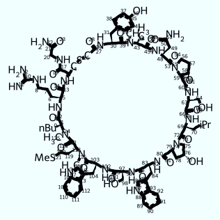 CCCC[C@H]1C(=O)N[C@@H](CCCNC(=N)N)C(=O)NC(C(=O)NCC(N)=O)CSCC(=O)N[C@@H](Cc2ccc(O)cc2)C(=O)N(C)[C@@H](C)C(=O)N[C@@H](CC(N)=O)C(=O)N2CCC[C@H]2C(=O)N[C@@H](CO)C(=O)N[C@@H](CC(C)C)C(=O)N2C[C@H](O)CC2C(=O)N[C@@H](Cc2c[nH]c3ccccc23)C(=O)N[C@@H](CO)C(=O)N[C@@H](Cc2c[nH]c3ccccc23)C(=O)N(C)[C@@H](CCSC)C(=O)N1C